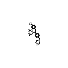 CCO[C@H](CC(C)=O)C(Cc1ccc(Cl)cc1)c1ccc(CN2CCOCC2)cc1